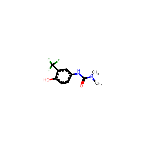 CN(C)C(=O)Nc1ccc(O)c(C(F)(F)F)c1